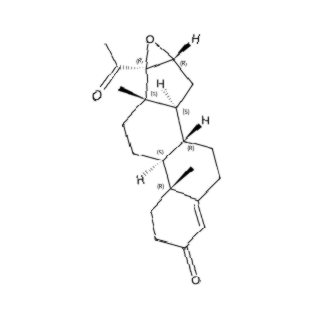 CC(=O)[C@]12O[C@@H]1C[C@H]1[C@@H]3CCC4=CC(=O)CC[C@]4(C)[C@H]3CC[C@@]12C